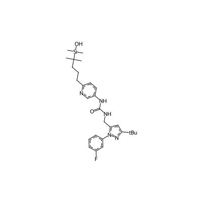 CC(C)(C)c1cc(CNC(=O)Nc2ccc(CCCC(C)(C)[Si](C)(C)O)nc2)n(-c2cccc(F)c2)n1